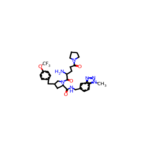 Cn1nnc2cc(CNC(=O)C3CC(Cc4ccc(OC(F)(F)F)cc4)CN3C(=O)C(N)CCC(=O)N3CCCC3)ccc21